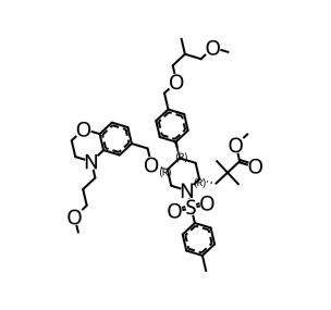 COCCCN1CCOc2ccc(CO[C@H]3CN(S(=O)(=O)c4ccc(C)cc4)[C@@H](CC(C)(C)C(=O)OC)C[C@@H]3c3ccc(COCC(C)COC)cc3)cc21